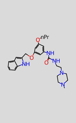 CCCOc1cc(NC(=O)NCCN2CCN(C)CC2)cc(OCc2cc3ccccc3[nH]2)c1